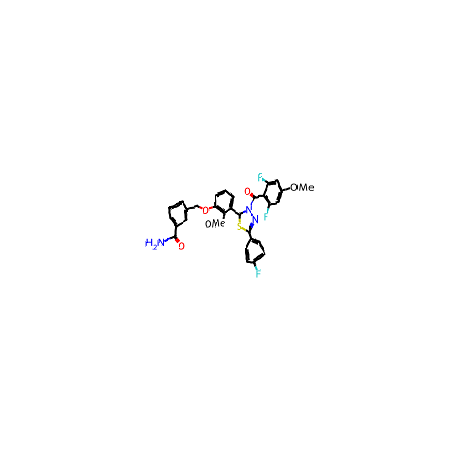 COc1cc(F)c(C(=O)N2N=C(c3ccc(F)cc3)SC2c2cccc(OCc3cccc(C(N)=O)c3)c2OC)c(F)c1